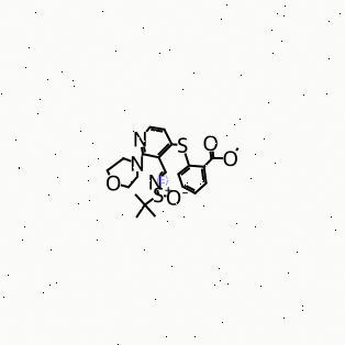 COC(=O)c1ccccc1Sc1ccnc(N2CCOCC2)c1/C=N/[S+]([O-])C(C)(C)C